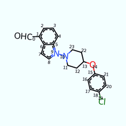 O=Cc1cccc2c1ccn2N1CCC(Oc2ccc(Cl)cc2)CC1